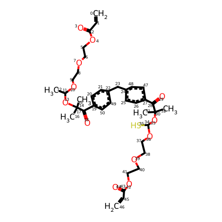 C=CC(=O)OCCOCCOC(C)OC(C)(C)C(=O)c1ccc(Cc2ccc(C(=O)C(C)(C)OC(S)OCCOCCOC(=O)C=C)cc2)cc1